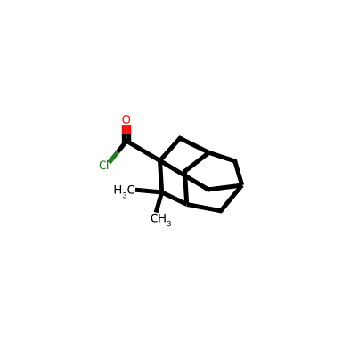 CC1(C)C2CC3CC(C2)CC1(C(=O)Cl)C3